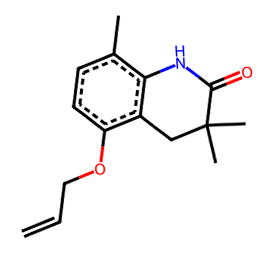 C=CCOc1ccc(C)c2c1CC(C)(C)C(=O)N2